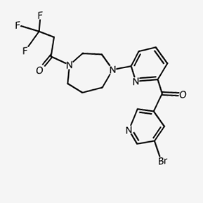 O=C(c1cncc(Br)c1)c1cccc(N2CCCN(C(=O)CC(F)(F)F)CC2)n1